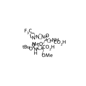 COCC[C@]1(C(=O)N2CCN(c3cc(C(F)(F)F)ccn3)CC2)CC[C@@H](NC(=O)O)C1.COCC[C@]1(C(=O)O)CC[C@@H](NC(=O)OC(C)(C)C)C1